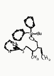 C=CC(CO[Si](c1ccccc1)(c1ccccc1)C(C)(C)C)C(C)CSc1ncccn1